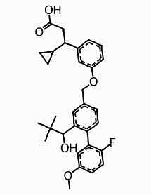 COc1ccc(F)c(-c2ccc(COc3cccc([C@H](CC(=O)O)C4CC4)c3)cc2C(O)C(C)(C)C)c1